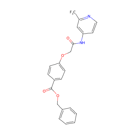 O=C(COc1ccc(C(=O)OCc2ccccc2)cc1)Nc1ccnc(C(F)(F)F)c1